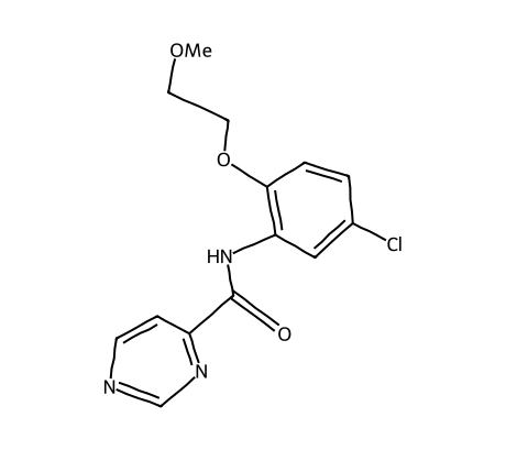 COCCOc1ccc(Cl)cc1NC(=O)c1ccncn1